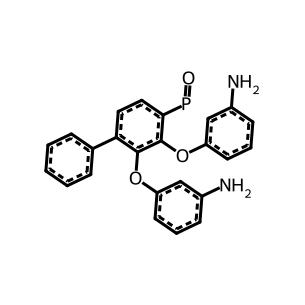 Nc1cccc(Oc2c(P=O)ccc(-c3ccccc3)c2Oc2cccc(N)c2)c1